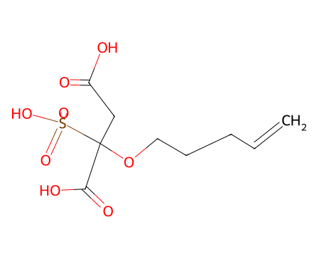 C=CCCCOC(CC(=O)O)(C(=O)O)S(=O)(=O)O